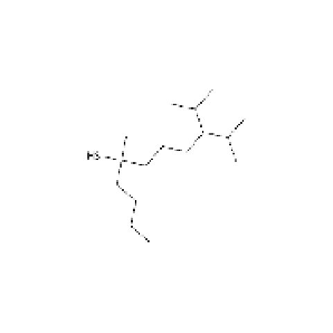 CCCCC(C)(S)CCCC(C(C)C)C(C)C